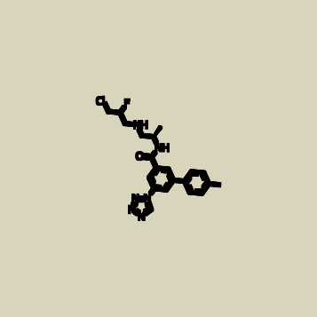 Cc1ccc(-c2cc(C(=O)N[C@H](C)CNCC(F)CCl)cc(-n3cnnn3)c2)cc1